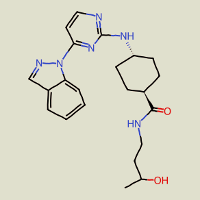 CC(O)CCNC(=O)[C@H]1CC[C@H](Nc2nccc(-n3ncc4ccccc43)n2)CC1